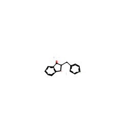 O=C1c2ccccc2C(=O)C1Cc1ccc(Cl)cc1